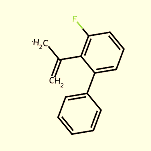 [CH2]C(=C)c1c(F)cccc1-c1ccccc1